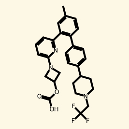 Cc1ccc(-c2ccc(C3CCN(CC(F)(F)F)CC3)cc2)c(-c2cccc(N3CC(OC(=O)O)C3)n2)c1